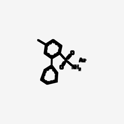 Cc1ccc(S(N)(=O)=O)c(-c2ccccc2)c1.[Au]